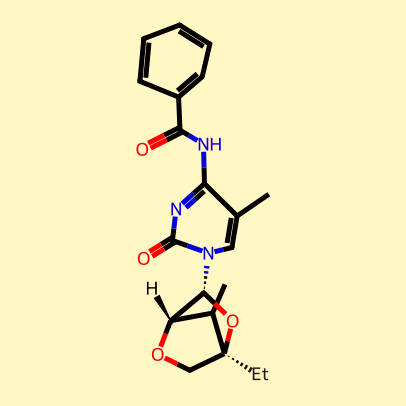 CC[C@]12CO[C@@H](C1C)[C@H](n1cc(C)c(NC(=O)c3ccccc3)nc1=O)O2